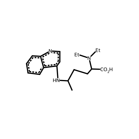 CCN(CC)C(CCC(C)Nc1ccnc2ccccc12)C(=O)O